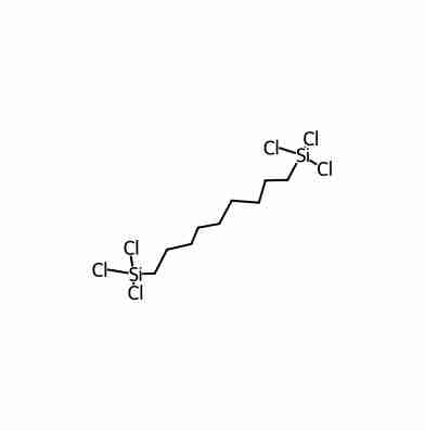 Cl[Si](Cl)(Cl)CCCCCCCCC[Si](Cl)(Cl)Cl